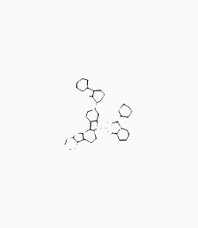 C1=Cc2sc3c(ccc4c3c3ccc(-c5cccc6c5oc5ccccc56)cc3n4-c3nc(-c4ccccc4)c4ccccc4n3)c2CC1